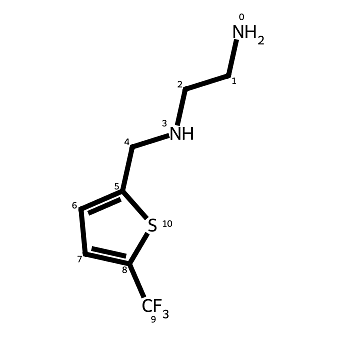 NCCNCc1ccc(C(F)(F)F)s1